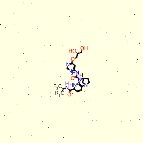 C[C@@H](NC(=O)C1C=CC2=C(N1)N(C(=O)Nc1cc(OC[C@@H](O)CO)ncn1)[C@H]1CCN2C1)C(F)(F)F